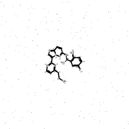 C[C@@H](Nc1ccc2ncc(-c3nccc(CCO)n3)n2n1)c1cc(F)ccc1O